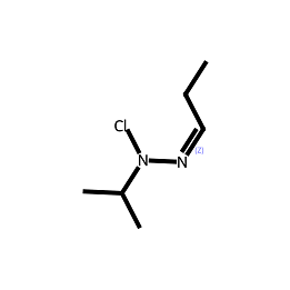 CC/C=N\N(Cl)C(C)C